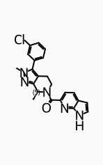 C[C@H]1c2nn(C)c(-c3cccc(Cl)c3)c2CCN1C(=O)c1ccc2cc[nH]c2n1